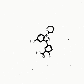 O=C(O)c1cc(-c2nn(C3CCCCO3)c3ccc(O)cc23)ccc1F